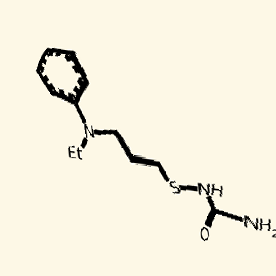 CCN(CCCSNC(N)=O)c1ccccc1